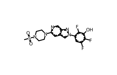 CS(=O)(=O)N1CCN(c2cc3cn(-c4cc(F)c(F)c(O)c4F)nc3cn2)CC1